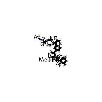 COc1ncc(-c2ccc3ncc(C#N)c(N4CCN(C(=O)/C=C/C(C)=O)CC4)c3c2)cc1NS(=O)(=O)c1c(F)cccc1F